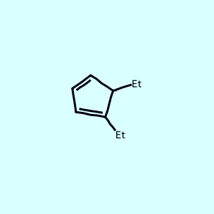 CC[C]1C=CC=C1CC